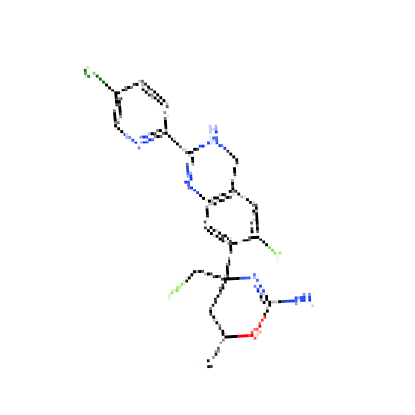 NC1=NC(CF)(c2cc3c(cc2F)CNC(c2ccc(Cl)cn2)=N3)C[C@@H](C(F)(F)F)O1